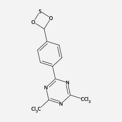 ClC(Cl)(Cl)c1nc(-c2ccc(C3OSO3)cc2)nc(C(Cl)(Cl)Cl)n1